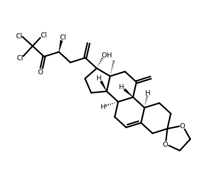 C=C1C[C@@]2(C)[C@@H](CC[C@@]2(O)C(=C)C[C@H](Cl)C(=O)C(Cl)(Cl)Cl)[C@@H]2CC=C3CC4(CC[C@@H]3[C@@H]12)OCCO4